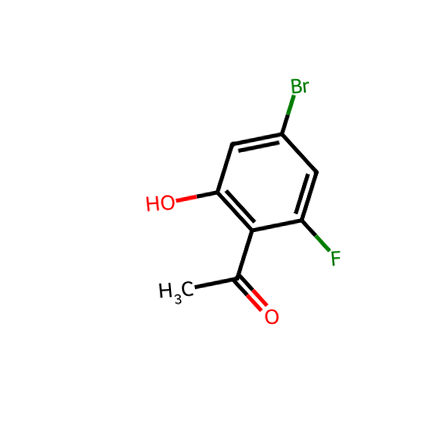 CC(=O)c1c(O)cc(Br)cc1F